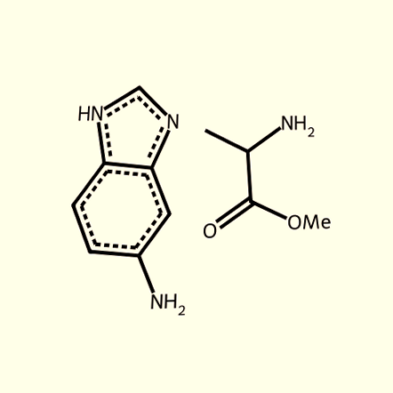 COC(=O)C(C)N.Nc1ccc2[nH]cnc2c1